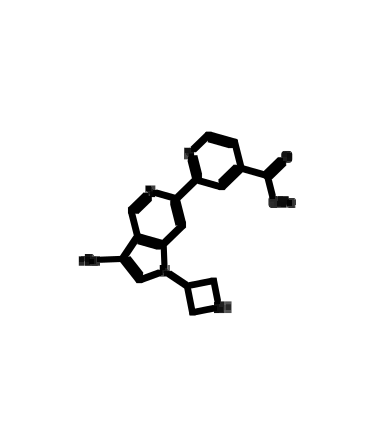 CCCCc1cn(C2CNC2)c2cc(-c3cc(C(=O)OC)ccn3)ncc12